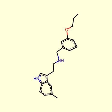 CCCOc1cccc(CNCCc2c[nH]c3ccc(C)cc23)c1